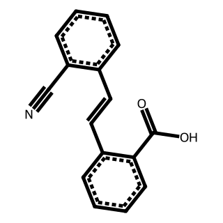 N#Cc1ccccc1C=Cc1ccccc1C(=O)O